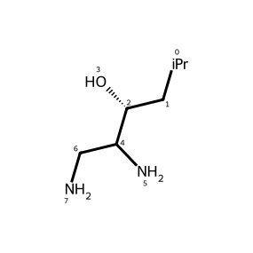 CC(C)C[C@@H](O)C(N)CN